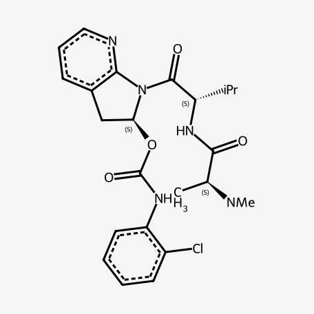 CN[C@@H](C)C(=O)N[C@H](C(=O)N1c2ncccc2C[C@@H]1OC(=O)Nc1ccccc1Cl)C(C)C